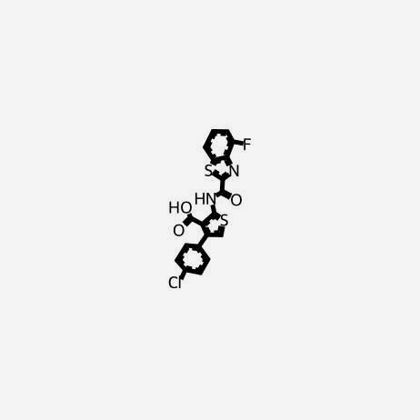 O=C(Nc1scc(-c2ccc(Cl)cc2)c1C(=O)O)c1nc2c(F)cccc2s1